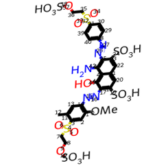 COc1cc(S(=O)(=O)CCOS(=O)(=O)O)c(C)cc1/N=N/c1c(S(=O)(=O)O)cc2cc(S(=O)(=O)O)c(/N=N/c3ccc(S(=O)(=O)CCOS(=O)(=O)O)cc3)c(N)c2c1O